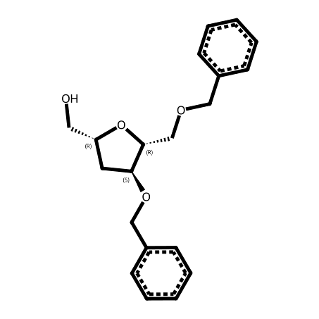 OC[C@H]1C[C@H](OCc2ccccc2)[C@@H](COCc2ccccc2)O1